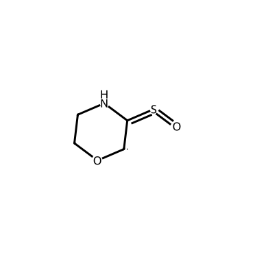 O=S=C1[CH]OCCN1